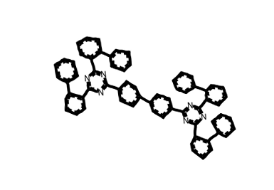 c1ccc(-c2ccccc2-c2nc(-c3ccc(-c4ccc(-c5nc(-c6ccccc6-c6ccccc6)nc(-c6ccccc6-c6ccccc6)n5)cc4)cc3)nc(-c3ccccc3-c3ccccc3)n2)cc1